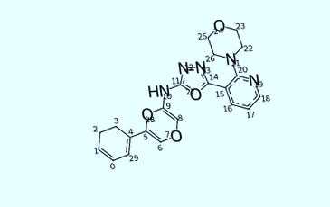 C1=CCCC(C2=COC=C(Nc3nnc(-c4cccnc4N4CCOCC4)o3)O2)=C1